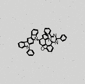 c1ccc(-c2nc(-c3ccccc3)nc(-c3cccc4oc5cc(-n6c7ccccc7c7cc8c9ccccc9n(-c9ccccc9)c8cc76)c6ccccc6c5c34)n2)cc1